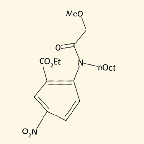 CCCCCCCCN(C(=O)COC)c1ccc([N+](=O)[O-])cc1C(=O)OCC